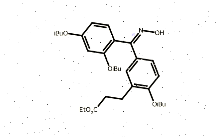 CCOC(=O)CCc1cc(/C(=N\O)c2ccc(OCC(C)C)cc2OCC(C)C)ccc1OCC(C)C